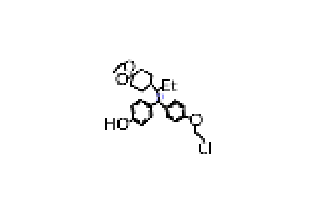 CC/C(=C(/c1ccc(O)cc1)c1ccc(OCCCl)cc1)C1CCC2(CC1)OCCO2